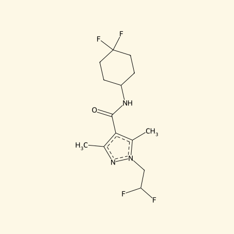 Cc1nn(CC(F)F)c(C)c1C(=O)NC1CCC(F)(F)CC1